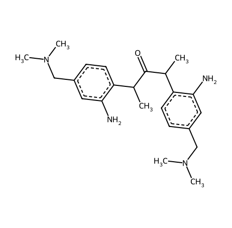 CC(C(=O)C(C)c1ccc(CN(C)C)cc1N)c1ccc(CN(C)C)cc1N